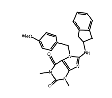 COc1ccc(Cn2c(NC3Cc4ccccc4C3)nc3c2c(=O)n(C)c(=O)n3C)cc1